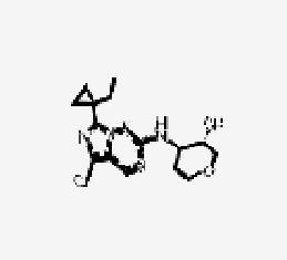 CCC1(c2nc(Cl)c3cnc(N[C@@H]4CCOC[C@H]4O)nn23)CC1